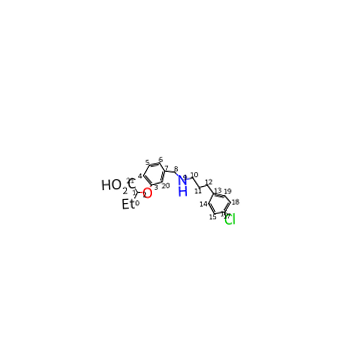 CCC(Oc1cccc(CNCCCc2ccc(Cl)cc2)c1)C(=O)O